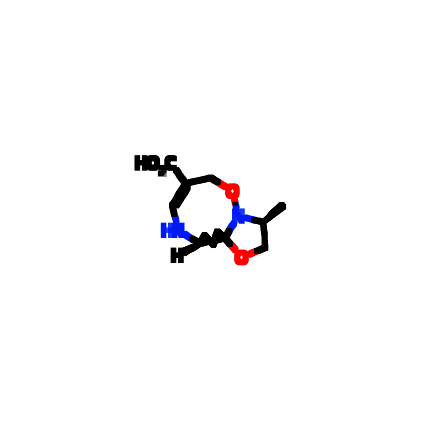 C[C@H]1CO[C@]23CCC[C@H]2N/C=C(/C(=O)O)CON13